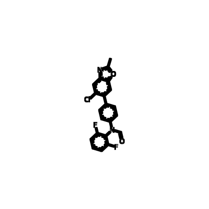 Cc1nc2cc(Cl)c(-c3ccc(N(C=O)c4c(F)cccc4F)cc3)cc2o1